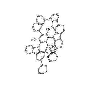 N#Cc1c(-c2ccccc2)c(C#N)c(-n2c3c(ccc4c5ccccc5sc43)c3ccc4c5cccc(-c6ccccc6)c5sc4c32)c(-c2ccccc2)c1-n1c2ccccc2c2cc(-c3ccccc3)ccc21